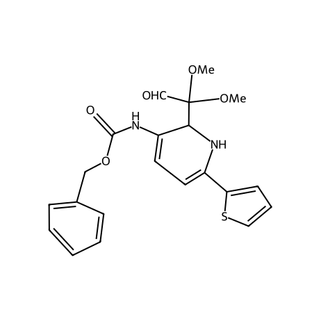 COC(C=O)(OC)C1NC(c2cccs2)=CC=C1NC(=O)OCc1ccccc1